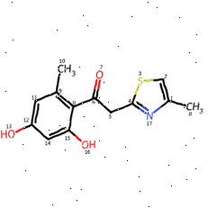 Cc1csc(CC(=O)c2c(C)cc(O)cc2O)n1